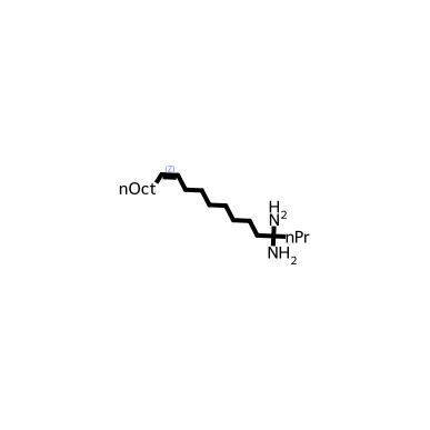 CCCCCCCC/C=C\CCCCCCCC(N)(N)CCC